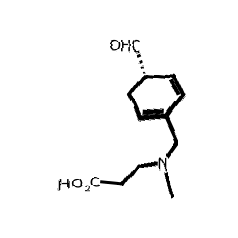 CN(CCC(=O)O)CC1=CC[C@H](C=O)C=C1